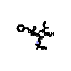 C=CC(C)N(C[C@@H](NC(=O)OCc1ccccc1)[C@@H](C)/C=C/[Si](C)(C)C(C)(C)C)C(=O)O